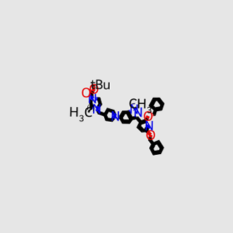 C[C@H]1CN(C(=O)OC(C)(C)C)CCN1CC1CCN(c2ccc3c(-c4ccc(OCc5ccccc5)nc4OCc4ccccc4)nn(C)c3c2)CC1